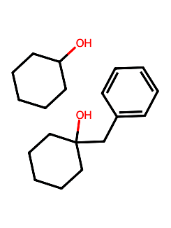 OC1(Cc2ccccc2)CCCCC1.OC1CCCCC1